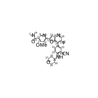 COc1cc(C(=O)N(C)C)cnc1-c1cc2ncc(F)c(-c3ccc(NC4CCOCC4)c(C#N)c3)c2o1